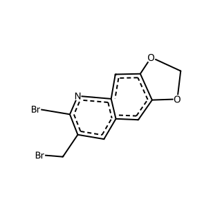 BrCc1cc2cc3c(cc2nc1Br)OCO3